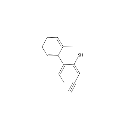 C#C/C=C(S)\C(=C/C)C1=CCCC=C1C